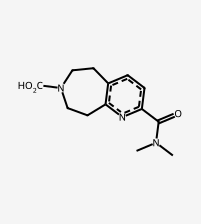 CN(C)C(=O)c1ccc2c(n1)CCN(C(=O)O)CC2